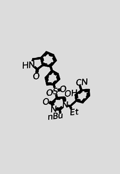 CCCCc1nc(=O)c(S(=O)(=O)c2ccc(-c3cccc4c3C(=O)NC4)cc2)c(O)n1C(CC)c1cccc(C#N)c1